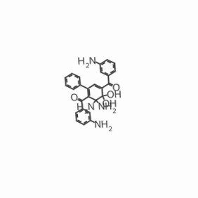 Nc1cccc(C(=O)C2=CC(c3ccccc3)=C(C(=O)c3cccc(N)c3)C(N)(N)C2(O)O)c1